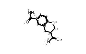 NC(=O)c1ccc2c(c1)CC(C(N)=O)CO2